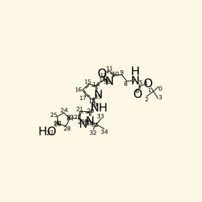 CC(C)(C)OC(=O)NCCc1coc(-c2cccc(Nc3cc([C@H]4CC[C@@H](O)C4)nn3C(C)(C)C)n2)n1